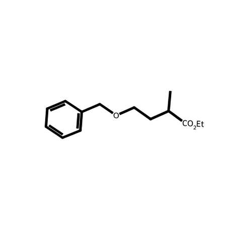 CCOC(=O)C(C)CCOCc1ccccc1